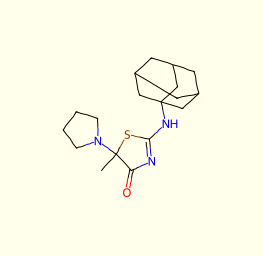 CC1(N2CCCC2)SC(NC23CC4CC(CC(C4)C2)C3)=NC1=O